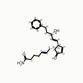 NC(=O)CCC/C=C/C[C@H]1C(=O)C=C[C@@H]1C=C[C@@H](O)CCc1ccccc1